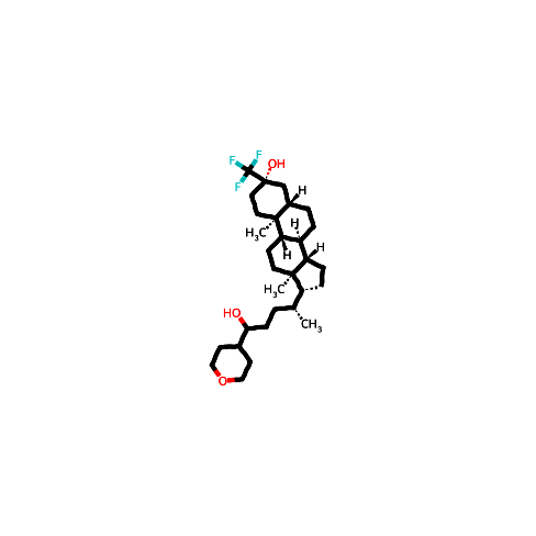 C[C@H](CCC(O)C1CCOCC1)[C@H]1CC[C@H]2[C@@H]3CC[C@H]4C[C@](O)(C(F)(F)F)CC[C@]4(C)[C@H]3CC[C@]12C